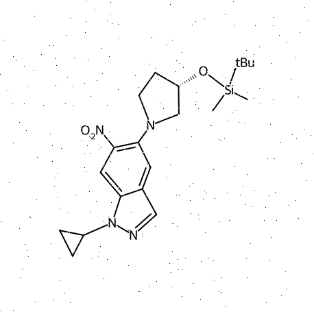 CC(C)(C)[Si](C)(C)O[C@H]1CCN(c2cc3cnn(C4CC4)c3cc2[N+](=O)[O-])C1